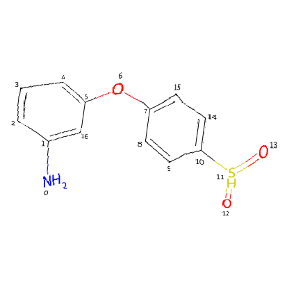 Nc1cccc(Oc2ccc([SH](=O)=O)cc2)c1